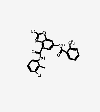 CCc1nc2c(C(=O)Nc3cccc(Cl)c3C)cc(NC(=O)c3ccccc3C(F)(F)F)cc2o1